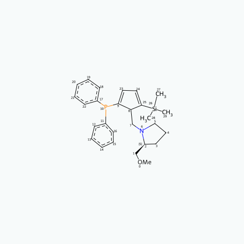 COC[C@@H]1CCCN1CC1C(P(c2ccccc2)c2ccccc2)=CC=C1[Si](C)(C)C